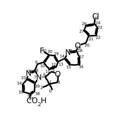 CC1(C)COC[C@H]1n1c(Cc2ccc(-c3cccc(OCc4ccc(Cl)cc4)n3)cc2F)nc2ccc(C(=O)O)cc21